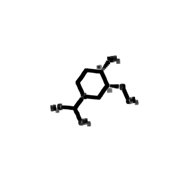 CO[C@@H]1CN(C(C)C)CC[C@@H]1N